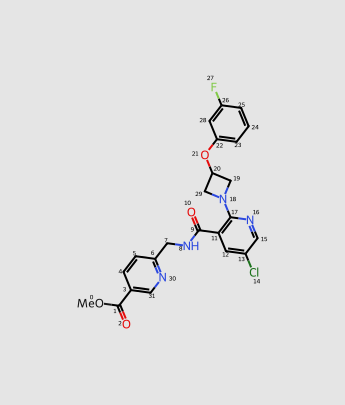 COC(=O)c1ccc(CNC(=O)c2cc(Cl)cnc2N2CC(Oc3cccc(F)c3)C2)nc1